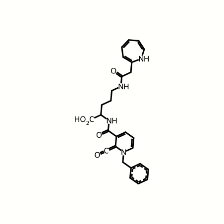 O=C=C1C(C(=O)NC(CCCNC(=O)CC2=CC=CC=CN2)C(=O)O)=CC=CN1Cc1ccccc1